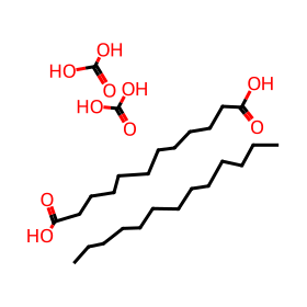 CCCCCCCCCCCCC.O=C(O)CCCCCCCCCCC(=O)O.O=C(O)O.O=C(O)O